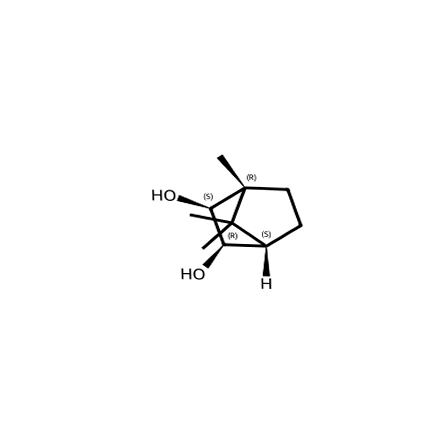 CC1(C)[C@@H]2CC[C@@]1(C)[C@H](O)[C@@H]2O